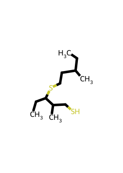 CCC(C)CCSC(CC)C(C)CS